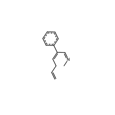 C=CC/C=C(\C=N/C)c1ccccc1